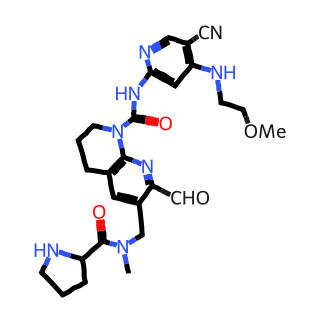 COCCNc1cc(NC(=O)N2CCCc3cc(CN(C)C(=O)C4CCCN4)c(C=O)nc32)ncc1C#N